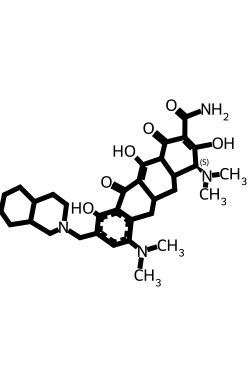 CN(C)c1cc(CN2CCC3CCCCC3C2)c(O)c2c1CC1CC3C(C(=O)C(C(N)=O)=C(O)[C@H]3N(C)C)C(O)=C1C2=O